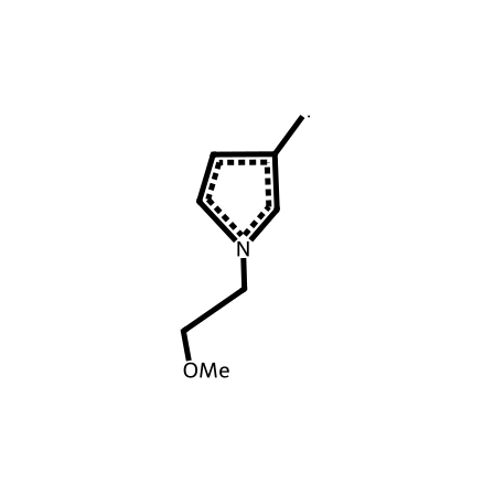 [CH2]c1ccn(CCOC)c1